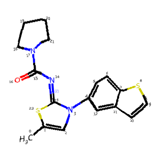 Cc1cn(-c2ccc3sccc3c2)/c(=N/C(=O)N2CCCC2)s1